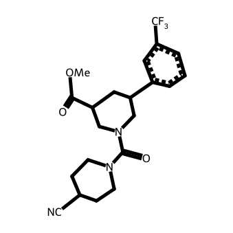 COC(=O)C1CC(c2cccc(C(F)(F)F)c2)CN(C(=O)N2CCC(C#N)CC2)C1